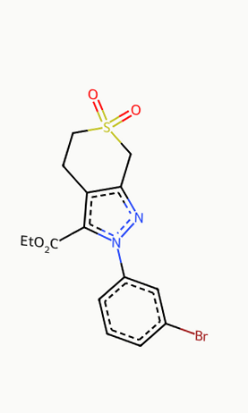 CCOC(=O)c1c2c(nn1-c1cccc(Br)c1)CS(=O)(=O)CC2